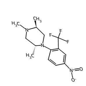 C[C@@H]1CN(C)[C@@H](C)CN1c1ccc([N+](=O)[O-])cc1C(F)(F)F